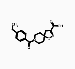 CCc1ccc(C(=O)N2CCC3(CC2)CC(C(=O)O)=NO3)cc1